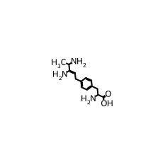 CC(N)/C(N)=C/Cc1ccc(CC(N)C(=O)O)cc1